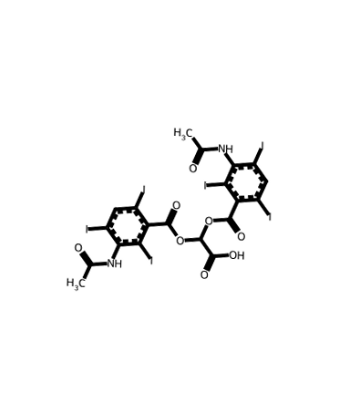 CC(=O)Nc1c(I)cc(I)c(C(=O)OC(OC(=O)c2c(I)cc(I)c(NC(C)=O)c2I)C(=O)O)c1I